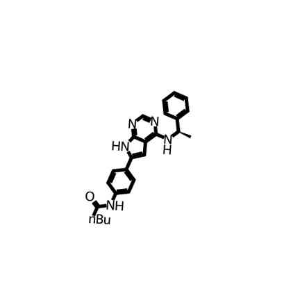 CCCCC(=O)Nc1ccc(-c2cc3c(N[C@H](C)c4ccccc4)ncnc3[nH]2)cc1